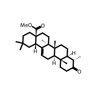 COC(=O)[C@]12CCC(C)(C)C[C@H]1C1=CC[C@@H]3[C@@]4(C)CCC(=O)[C@@H](C)[C@@H]4CC[C@@]3(C)[C@]1(C)CC2